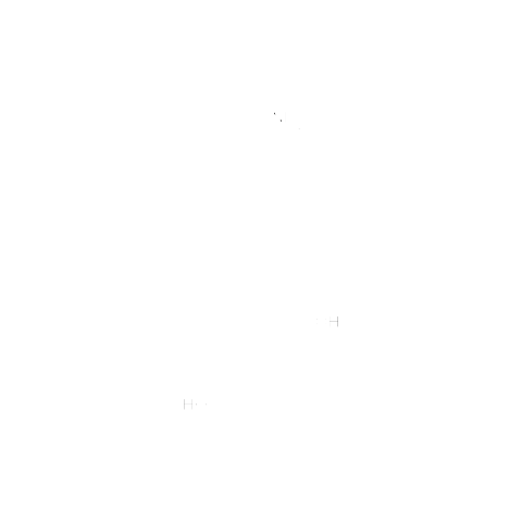 Nc1ccc(CCc2cc(O)ccc2O)cc1